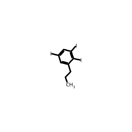 CCCc1cc(I)cc(I)c1I